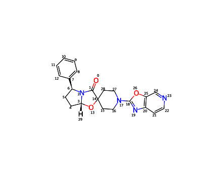 O=C1N2[C@@H](CC[C@H]2c2ccccc2)OC12CCN(c1nc3ccncc3o1)CC2